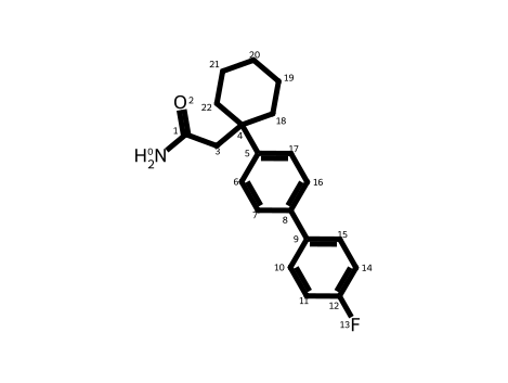 NC(=O)CC1(c2ccc(-c3ccc(F)cc3)cc2)CCCCC1